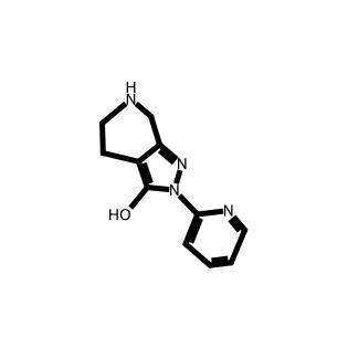 Oc1c2c(nn1-c1ccccn1)CNCC2